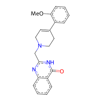 COc1ccccc1C1=CCN(Cc2nc3ccccc3c(=O)[nH]2)CC1